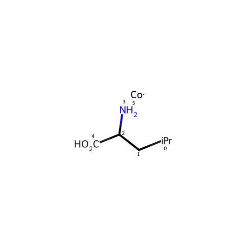 CC(C)CC(N)C(=O)O.[Co]